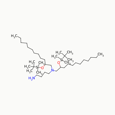 CCCCCCCCCCC(CN(CCCCN)CC(CCCCCCCCCC)O[Si](C)(C)C(C)(C)C)O[Si](C)(C)C(C)(C)C